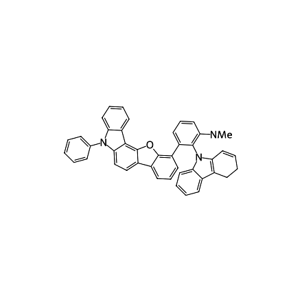 CNc1cccc(-c2cccc3c2oc2c3ccc3c2c2ccccc2n3-c2ccccc2)c1-n1c2c(c3ccccc31)CCC=C2